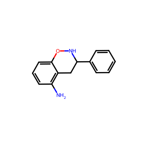 Nc1cccc2c1CC(c1ccccc1)NO2